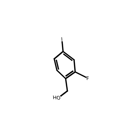 OCc1ccc(I)cc1F